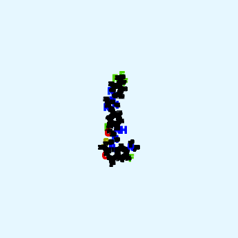 CC(C)c1cc(F)c(N(C)C)cc1N1C(=O)CS/C1=N\C(=O)Nc1ccc(-c2ncn(-c3ccc(C(F)(F)F)cn3)n2)cc1F